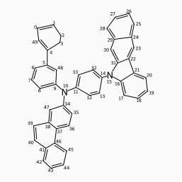 C1=CCCC(c2cccc(N(c3ccc(-n4c5ccccc5c5cc6ccccc6cc54)cc3)c3ccc4c(ccc5ccccc54)c3)c2)=C1